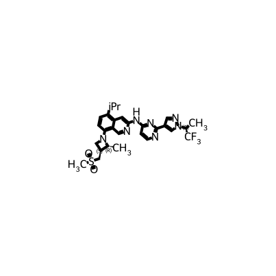 CC(C)c1ccc(N2C[C@H](CS(C)(=O)=O)[C@H]2C)c2cnc(Nc3ccnc(-c4cnn([C@@H](C)C(F)(F)F)c4)n3)cc12